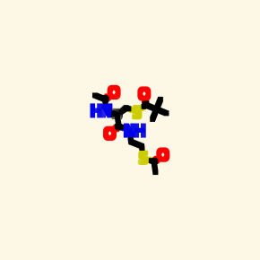 CC(=O)N[C@@H](CSC(=O)C(C)(C)C)C(=O)NCCSC(C)=O